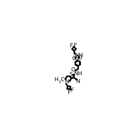 CC1Cc2sc(NC(=O)Cc3ccc(S(=O)(=O)NCC4CC(F)(F)C4)cc3)c(C#N)c2CN1CC1CC(F)(F)C1